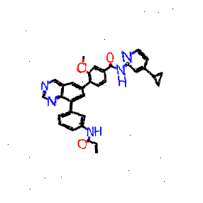 C=CC(=O)Nc1cccc(-c2cc(-c3ccc(C(=O)Nc4cc(C5CC5)ccn4)cc3OC)cc3cncnc23)c1